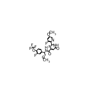 COCC(NC(=O)c1cc(=O)[nH]c(-c2ncc(OC)cc2F)n1)c1ccc(OC(F)(F)F)c(F)c1